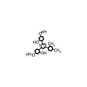 CCCOc1ccc(-c2cc(-c3ccc(C)cc3C)nc(-c3ccc(OCCC)cc3O)n2)c(O)c1